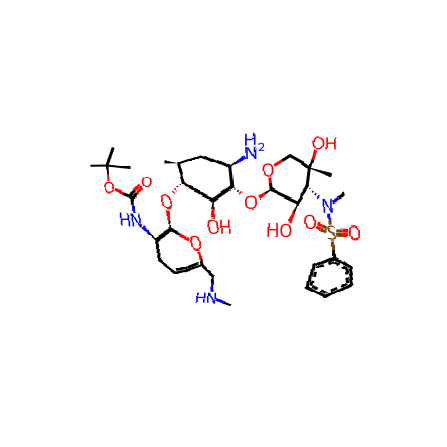 CNCC1=CC[C@@H](NC(=O)OC(C)(C)C)[C@@H](O[C@H]2[C@H](O)[C@@H](O[C@H]3OC[C@](C)(O)[C@H](N(C)S(=O)(=O)c4ccccc4)[C@H]3O)[C@H](N)C[C@@H]2C)O1